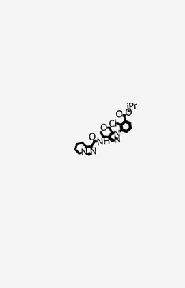 CC(C)OC(=O)c1cccc(-n2ncc3c2COC[C@H]3NC(=O)c2ncn3c2CCCC3)c1Cl